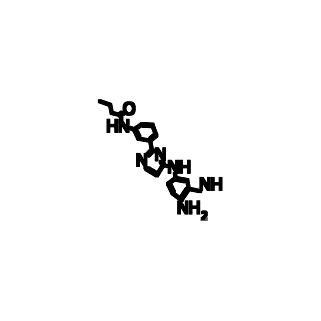 CCCC(=O)Nc1cccc(-c2nccc(Nc3ccc(N)c(C=N)c3)n2)c1